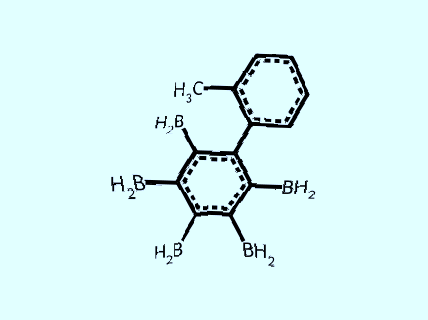 Bc1c(B)c(B)c(-c2ccccc2C)c(B)c1B